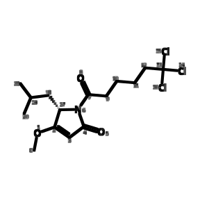 COC1=CC(=O)N(C(=O)CCCCC(Cl)(Cl)Cl)[C@H]1CC(C)C